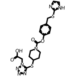 O=C(O)Cn1nnnc1SC1CCN(C(=O)Oc2ccc(CSc3ncc[nH]3)cc2)CC1